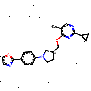 N#Cc1cnc(C2CC2)nc1OC[C@H]1CCN(c2ccc(-c3ncco3)cc2)C1